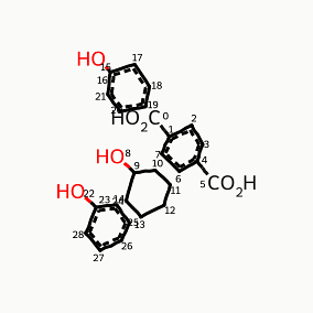 O=C(O)c1ccc(C(=O)O)cc1.OC1CCCCC1.Oc1ccccc1.Oc1ccccc1